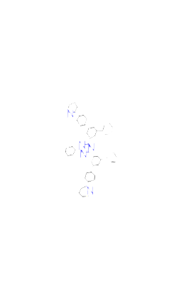 C1=CCCC(c2cc(-c3ccc(-c4ccccn4)cc3)cc(-c3nc(-c4ccccc4)nc(-c4cc(-c5ccc(-c6ccccn6)cc5)cc(C5C=CC=CC5)c4)n3)c2)=C1